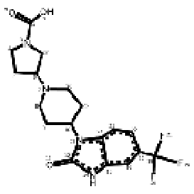 O=C(O)N1CC[C@H](N2CCC(n3c(=O)[nH]c4cc(C(F)(F)F)ccc43)CC2)C1